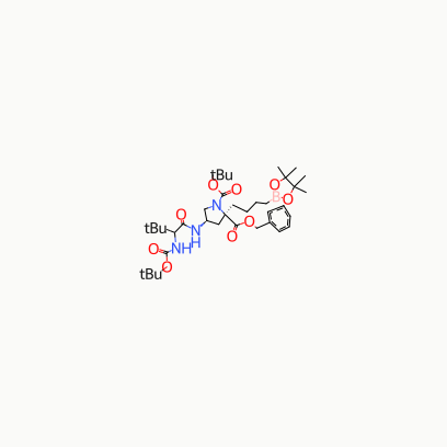 CC(C)(C)OC(=O)NC(C(=O)N[C@H]1CN(C(=O)OC(C)(C)C)[C@@](CCCCB2OC(C)(C)C(C)(C)O2)(C(=O)OCc2ccccc2)C1)C(C)(C)C